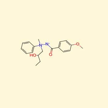 CCC(O)C[N+](C)([N-]C(=O)c1ccc(OC)cc1)c1ccccc1